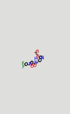 COC(C)CCOc1ccnc2ccc(CNC(=O)c3cccn(Cc4ccc(F)c(F)c4)c3=O)cc12